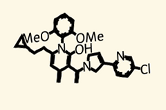 C=C1C=C(CCC2CC2)N(c2c(OC)cccc2OC)C(O)=C1C(=C)N1CC=C(c2ccc(Cl)cn2)C1